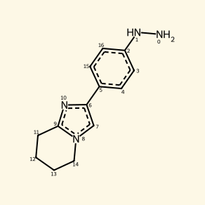 NNc1ccc(-c2cn3c(n2)CCCC3)cc1